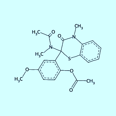 COc1ccc(OC(C)=O)c(C2(N(C)C(C)=O)Sc3ccccc3N(C)C2=O)c1